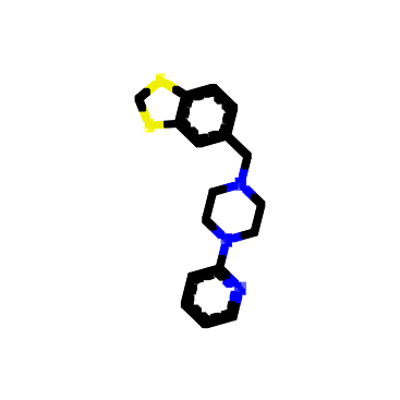 c1ccc(N2CCN(Cc3ccc4c(c3)SCS4)CC2)nc1